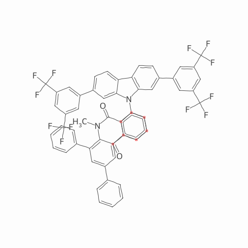 CN(C(=O)c1c(C=O)cccc1-n1c2cc(-c3cc(C(F)(F)F)cc(C(F)(F)F)c3)ccc2c2ccc(-c3cc(C(F)(F)F)cc(C(F)(F)F)c3)cc21)c1c(-c2ccccc2)cc(-c2ccccc2)cc1-c1ccccc1